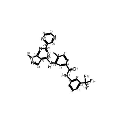 Cc1ccc(C(=O)Nc2cccc(C(F)(F)F)c2)cc1Nc1nc(-c2cnccn2)nc2c1cnn2C